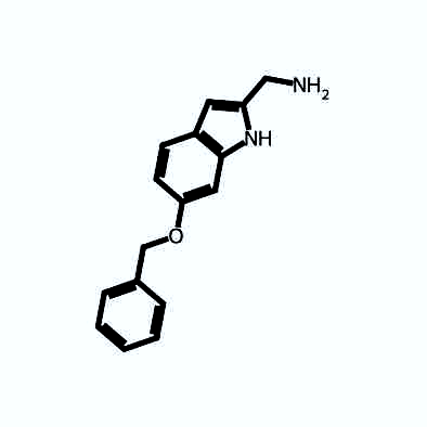 NCc1cc2ccc(OCc3ccccc3)cc2[nH]1